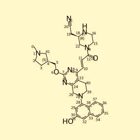 CN1CC[C@H](COc2nc(C=CC(=O)N3CCN[C@H](CC#N)C3)c3c(n2)CN(c2cc(O)cc4ccccc24)CC3)C1